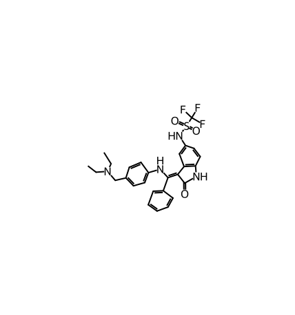 CCN(CC)Cc1ccc(NC(=C2C(=O)Nc3ccc(NS(=O)(=O)C(F)(F)F)cc32)c2ccccc2)cc1